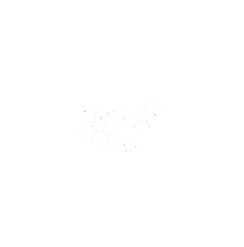 N=C(NN(Cc1ccccc1)Cc1cccc(Nc2c(C3=CCCC=C3)c3ccccc3c3c2sc2ccccc23)c1)c1ccccc1